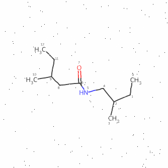 CCC(C)CNC(=O)CC(C)CC